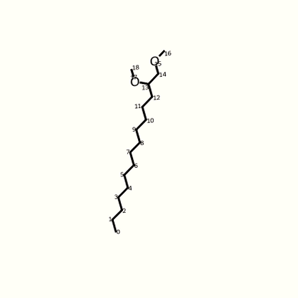 CCCCCCCCCCCCCC(COC)OC